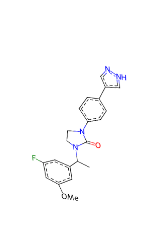 COc1cc(F)cc(C(C)N2CCN(c3ccc(-c4cn[nH]c4)cc3)C2=O)c1